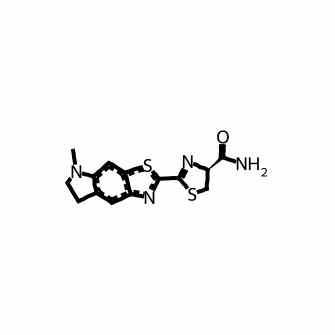 CN1CCc2cc3nc(C4=N[C@@H](C(N)=O)CS4)sc3cc21